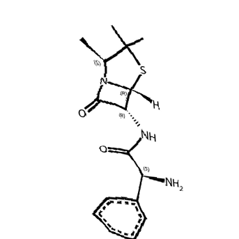 C[C@@H]1N2C(=O)[C@@H](NC(=O)[C@@H](N)c3ccccc3)[C@H]2SC1(C)C